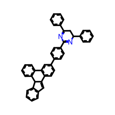 C1=C2c3ccc(-c4ccc(C5=NC(c6ccccc6)CC(c6ccccc6)=N5)cc4)cc3-c3ccccc3C2c2ccccc21